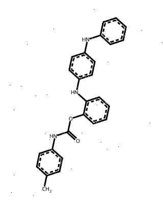 Cc1ccc(NC(=O)Oc2ccccc2Nc2ccc(Nc3ccccc3)cc2)cc1